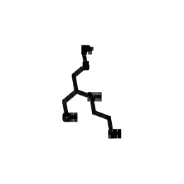 CC(C)SCC(CO)NCCS